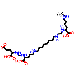 CNCCCCC(NCCNCCCCCCCCNCCCC(NCNC(CCC(=O)O)C(=O)O)C(=O)O)C(=O)O